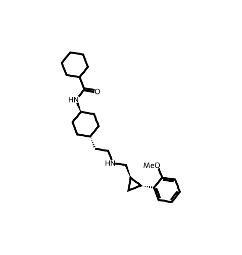 COc1ccccc1[C@@H]1C[C@H]1CNCC[C@H]1CC[C@H](NC(=O)C2CCCCC2)CC1